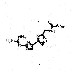 CNC(=O)NCc1nc(-c2csc(N=C(N)N)n2)cs1